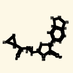 O=C(NC[C@H]1CN(c2ccc3c(c2)CCC3)C(=O)O1)C1CC1